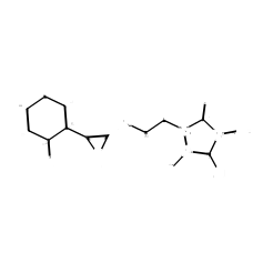 CN1C(C(F)(F)F)N(C(C)(C)C)C(O)N1CCN[C@@H]1OC1C1CCCCC1Cl